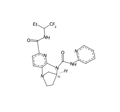 CCC(NC(=O)c1ccc2c(n1)N(C(=O)Nc1ccccn1)[C@H]1CCN2C1)C(F)(F)F